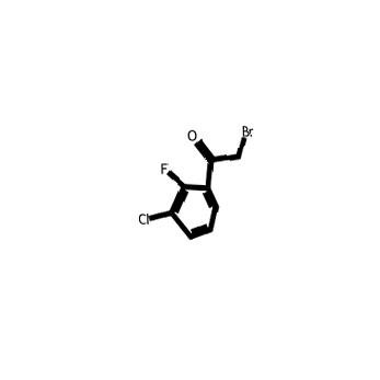 O=C(CBr)c1cccc(Cl)c1F